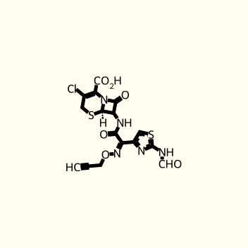 C#CCO/N=C(\C(=O)NC1C(=O)N2C(C(=O)O)=C(Cl)CS[C@H]12)c1csc(NC=O)n1